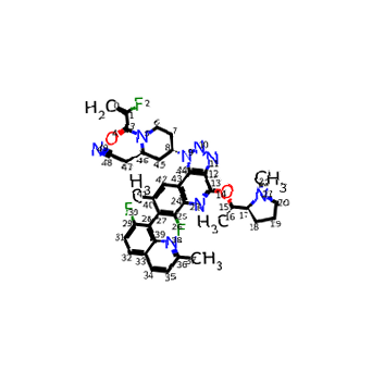 C=C(F)C(=O)N1CC[C@H](n2nnc3c(O[C@@H](C)[C@@H]4CCCN4C)nc4c(F)c(-c5c(F)ccc6ccc(C)nc56)c(C)cc4c32)C[C@H]1CC#N